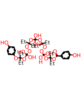 CCC(CC)(OOC(O)(O)OC(CC)(CC)OC(=O)c1ccc(O)cc1)OC(O)(O)OC(CC)(CC)OOC(O)(O)OC(CC)(CC)Oc1ccc(O)cc1